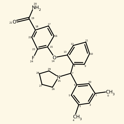 Cc1cc(C)cc(C(c2ccccc2Oc2ccc(C(N)=O)cc2F)N2CCCC2)c1